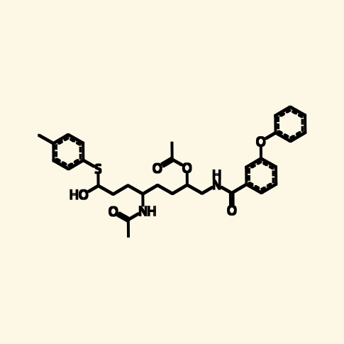 CC(=O)NC(CCC(CNC(=O)c1cccc(Oc2ccccc2)c1)OC(C)=O)CCC(O)Sc1ccc(C)cc1